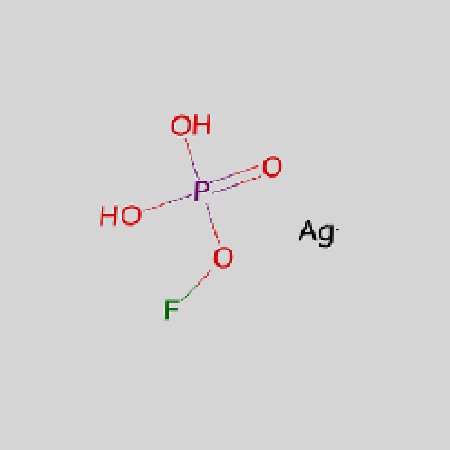 O=P(O)(O)OF.[Ag]